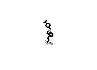 C=C(C)[C@@H]1CC=C(Cn2ccc3c(/C=C4\SC(=O)NC4=O)cccc32)CC1